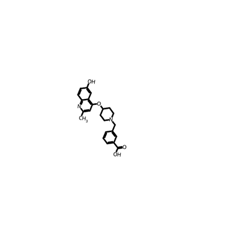 Cc1cc(OC2CCN(Cc3cccc(C(=O)O)c3)CC2)c2cc(O)ccc2n1